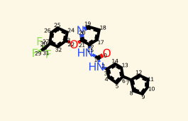 O=C(Nc1ccc(-c2ccccc2)cc1)Nc1cccnc1Oc1cccc(C(F)(F)F)c1